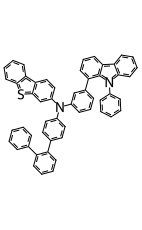 c1ccc(-c2ccccc2-c2ccc(N(c3cccc(-c4cccc5c6ccccc6n(-c6ccccc6)c45)c3)c3ccc4c(c3)sc3ccccc34)cc2)cc1